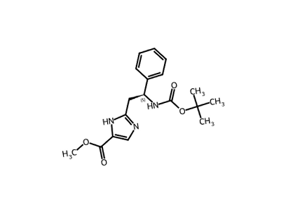 COC(=O)c1cnc(C[C@H](NC(=O)OC(C)(C)C)c2ccccc2)[nH]1